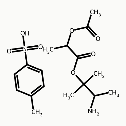 CC(=O)OC(C)C(=O)OC(C)(C)C(C)N.Cc1ccc(S(=O)(=O)O)cc1